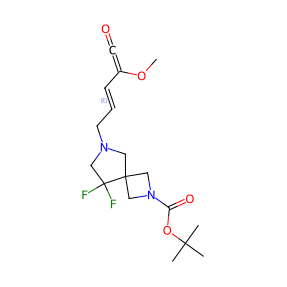 COC(=C=O)/C=C/CN1CC(F)(F)C2(C1)CN(C(=O)OC(C)(C)C)C2